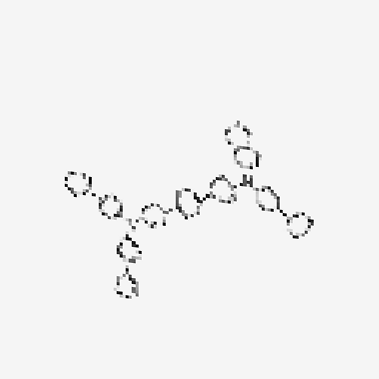 c1ccc(-c2ccc(N(c3ccc(-c4ccccc4)cc3)c3ccc(-c4ccc(-c5ccc(N(c6ccc(-c7ccccc7)cc6)c6ccc7ccccc7c6)cc5)cc4)cc3)cc2)cc1